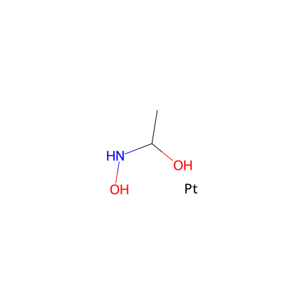 CC(O)NO.[Pt]